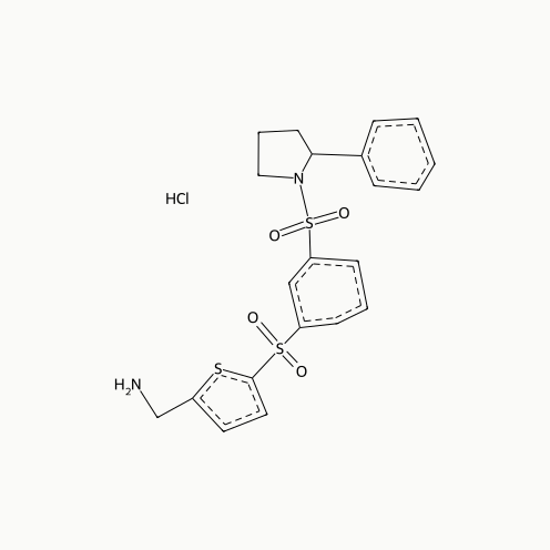 Cl.NCc1ccc(S(=O)(=O)c2cccc(S(=O)(=O)N3CCCC3c3ccccc3)c2)s1